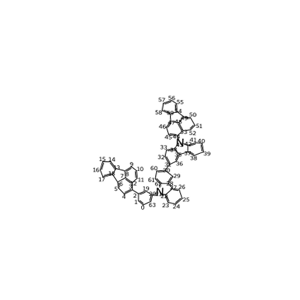 c1cc(-c2ccc3c4c(cccc24)-c2ccccc2-3)cc(-n2c3ccccc3c3cc(-c4ccc5c(c4)c4ccccc4n5-c4ccc5c6c(cccc46)-c4ccccc4-5)ccc32)c1